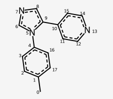 Cc1ccc(-n2cncc2-c2ccncc2)cc1